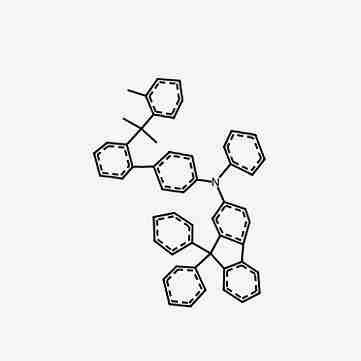 Cc1ccccc1C(C)(C)c1ccccc1-c1ccc(N(c2ccccc2)c2ccc3c(c2)C(c2ccccc2)(c2ccccc2)c2ccccc2-3)cc1